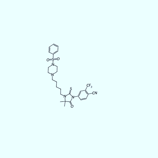 CC1(C)C(=O)N(c2ccc(C#N)c(C(F)(F)F)c2)C(=S)N1CCCCCN1CCN(S(=O)(=O)c2ccccc2)CC1